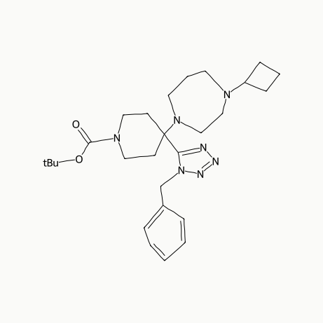 CC(C)(C)OC(=O)N1CCC(c2nnnn2Cc2ccccc2)(N2CCCN(C3CCC3)CC2)CC1